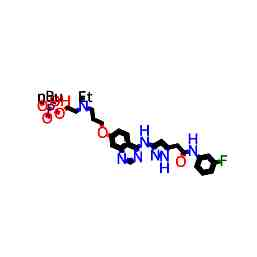 CCCCOP(=O)(O)OCCN(CC)CCCOc1ccc2c(Nc3cc(CC(=O)Nc4cccc(F)c4)[nH]n3)ncnc2c1